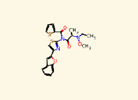 CCN(OC)C(C)C(=O)N(C(=O)c1cccs1)c1nc(-c2cc3ccccc3o2)cs1